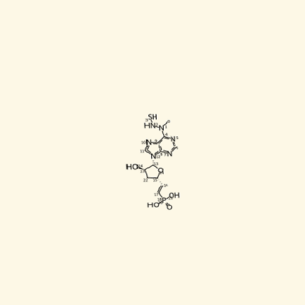 CN(NS)c1ncnc2c1ncn2[C@@H]1O[C@H](/C=C/P(=O)(O)O)C[C@H]1O